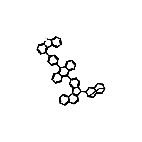 c1ccc2c3c(ccc2c1)C(C1CC2CCC4CC2CC1C4)c1ccc(-c2c4ccccc4c(-c4ccc(-c5cccc6oc7ccccc7c56)cc4)c4ccccc24)cc1-3